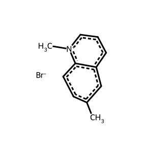 Cc1ccc2c(ccc[n+]2C)c1.[Br-]